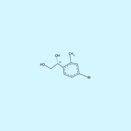 Cc1cc(Br)ccc1[C@@H](O)CO